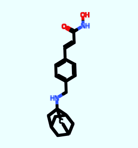 O=C(C=Cc1ccc(CNC23CC4CC(CC2C4)C3)cc1)NO